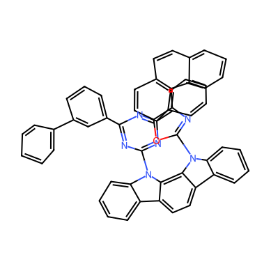 c1ccc(-c2cccc(-c3nc(-c4ccccc4)nc(-n4c5ccccc5c5ccc6c7ccccc7n(-c7nc8c(ccc9ccc%10ccccc%10c98)o7)c6c54)n3)c2)cc1